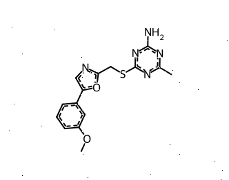 COc1cccc(-c2cnc(CSc3nc(C)nc(N)n3)o2)c1